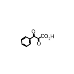 O=C(O)C(=O)C(=O)c1ccccc1